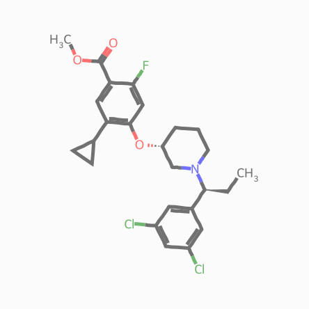 CC[C@@H](c1cc(Cl)cc(Cl)c1)N1CCC[C@@H](Oc2cc(F)c(C(=O)OC)cc2C2CC2)C1